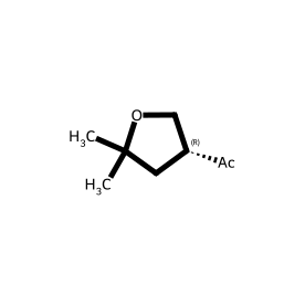 CC(=O)[C@H]1COC(C)(C)C1